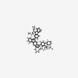 CC1(C)c2ccccc2-c2ccc(-n3c4c(c5cc6c7ccccc7n(-c7ccc8c(c7)C(C)(C)c7ccccc7-8)c6cc53)CCCC4)cc21